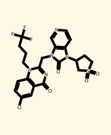 O=c1nc(Cn2c(=O)n(C3CCS(=O)(=O)C3)c3ccncc32)n(CCCC(F)(F)F)c2ccc(Cl)cc12